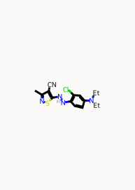 CCN(CC)c1ccc(/N=N/c2snc(C)c2C#N)c(Cl)c1